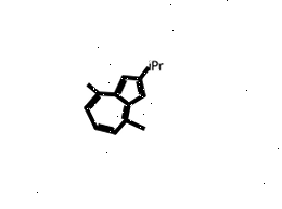 Cc1cccc(C)c2cc(C(C)C)cc1-2